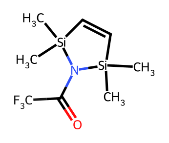 C[Si]1(C)C=C[Si](C)(C)N1C(=O)C(F)(F)F